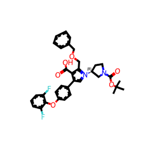 CC(C)(C)OC(=O)N1CC[C@@H](n2cc(-c3ccc(Oc4c(F)cccc4F)cc3)c(C(=O)O)c2COCc2ccccc2)C1